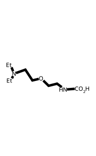 CCN(CC)CCOCCNC(=O)O